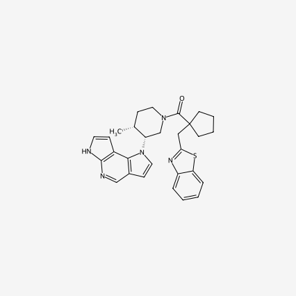 C[C@@H]1CCN(C(=O)C2(Cc3nc4ccccc4s3)CCCC2)C[C@@H]1n1ccc2cnc3[nH]ccc3c21